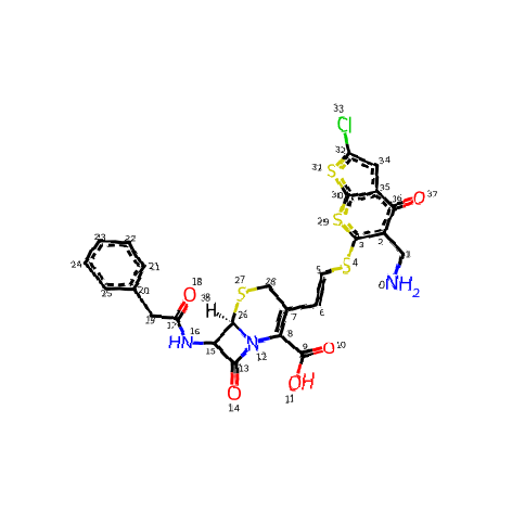 NCc1c(S/C=C/C2=C(C(=O)O)N3C(=O)C(NC(=O)Cc4ccccc4)[C@H]3SC2)sc2sc(Cl)cc2c1=O